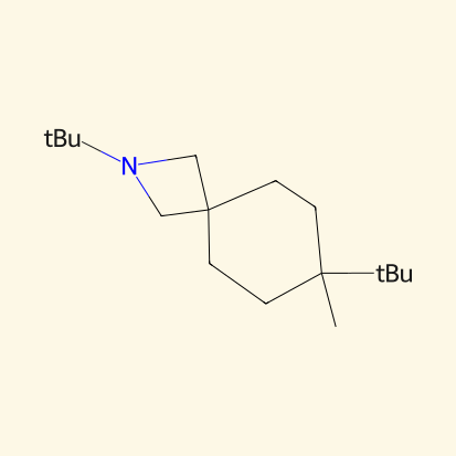 CC(C)(C)N1CC2(CCC(C)(C(C)(C)C)CC2)C1